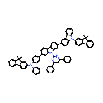 CC1(C)c2ccccc2-c2ccc(-n3c4ccccc4c4cc(-c5ccc6c7ccc(-c8ccc9c(c8)c8ccccc8n9-c8ccc9c(c8)C(C)(C)c8ccccc8-9)cc7n(-c7nc(-c8ccccc8)cc(-c8ccccc8)n7)c6c5)ccc43)cc21